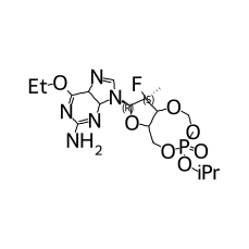 CCOC1=NC(N)=NC2C1N=CN2[C@@H]1OC2COP(=O)(OC(C)C)OCOC2[C@]1(C)F